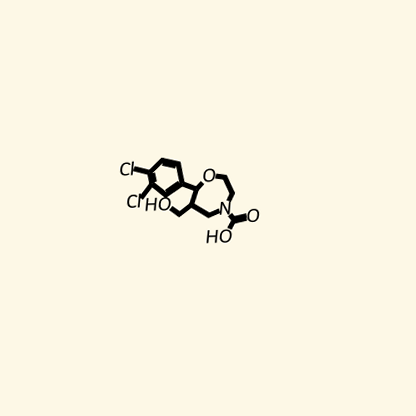 O=C(O)N1CCOC(c2ccc(Cl)c(Cl)c2)C(CO)C1